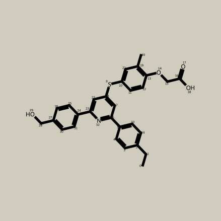 CCc1ccc(-c2cc(Sc3ccc(OCC(=O)O)c(C)c3)cc(-c3ccc(CO)cc3)n2)cc1